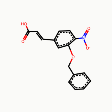 O=C(O)C=Cc1ccc([N+](=O)[O-])c(OCc2ccccc2)c1